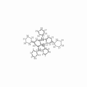 c1ccc(N2c3ccccc3B3c4cc(C5CCCCC5)ccc4N(c4ccccc4)c4cc(C5CCCCC5)cc2c43)cc1